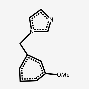 COc1cccc(Cn2c[c]nc2)c1